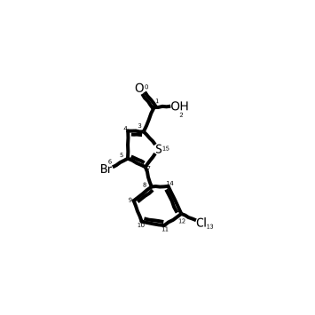 O=C(O)c1cc(Br)c(-c2cccc(Cl)c2)s1